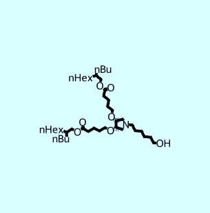 CCCCCCC(CCCC)COC(=O)CCCCO[C@H]1CN(CCCCCCO)C[C@H]1OCCCCC(=O)OCC(CCCC)CCCCCC